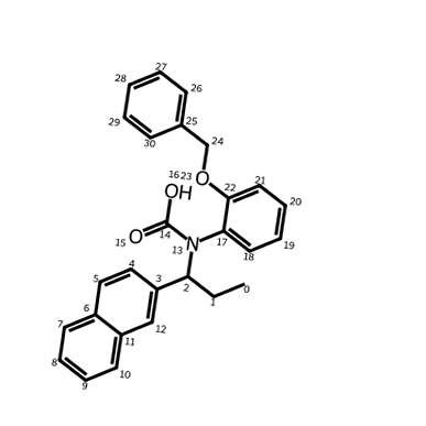 CCC(c1ccc2ccccc2c1)N(C(=O)O)c1ccccc1OCc1ccccc1